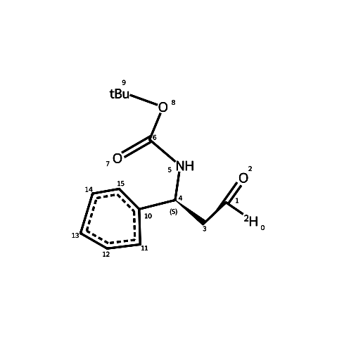 [2H]C(=O)C[C@H](NC(=O)OC(C)(C)C)c1ccccc1